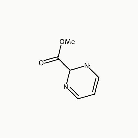 COC(=O)C1[N]C=CC=N1